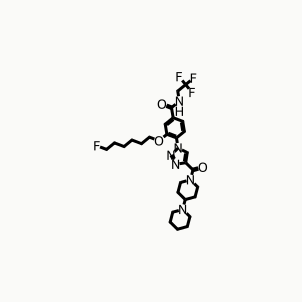 O=C(NCC(F)(F)F)c1ccc(-n2cc(C(=O)N3CCC(N4CCCCC4)CC3)nn2)c(OCCCCCCF)c1